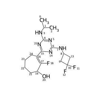 CC(C)Nc1nc(NC2CC(F)(F)C2)nc(C2=C(F)C(O)CCCC2)n1